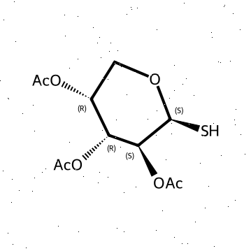 CC(=O)O[C@H]1[C@H](OC(C)=O)[C@H](OC(C)=O)CO[C@H]1S